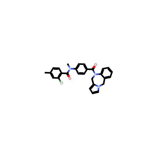 Cc1ccc(C(=O)N(C)c2ccc(C(=O)N3Cc4cccn4Cc4ccccc43)cc2)c(Cl)c1